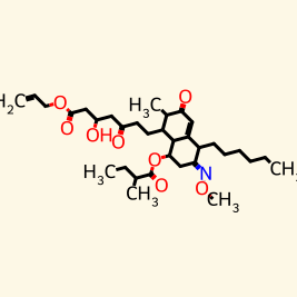 C=CCOC(=O)CC(O)CC(=O)CCC1C(C)C(=O)C=C2C(CCCCCC)C(=NOC)CC(OC(=O)C(C)CC)C21